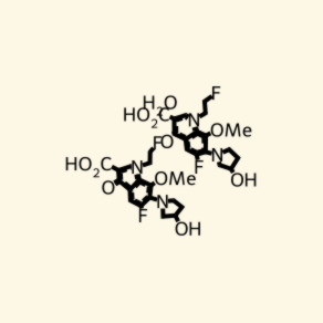 COc1c(N2CCC(O)C2)c(F)cc2c(=O)c(C(=O)O)cn(CCF)c12.COc1c(N2CCC(O)C2)c(F)cc2c(=O)c(C(=O)O)cn(CCF)c12.O